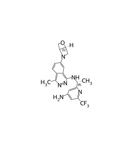 Cc1nnc(N[C@H](C)c2cc(N)cc(C(F)(F)F)n2)c2cc(N3C[C@@H]4OCC43)ccc12